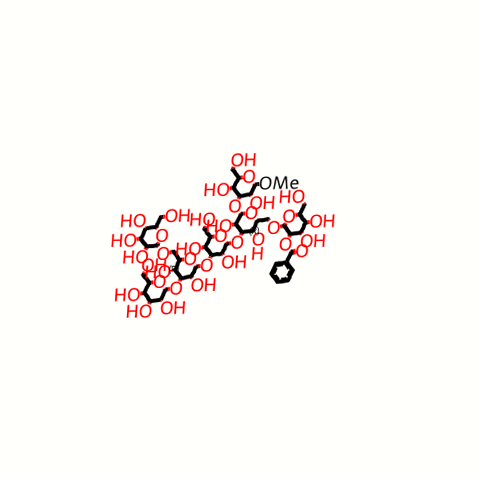 COC1OC(CO)C(O)C(OC2OC(COC3OC(CO)C(O)C(O)C3OC(=O)c3ccccc3)[C@@H](O)C(OC3OC(CO)C(O)C(OC4OC(COC5OC(CO)C(O)C(O)C5O)[C@@H](O)C(OC5OC(CO)C(O)C(O)C5O)C4O)C3O)C2O)C1O